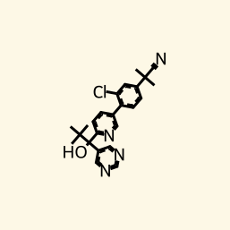 CC(C)(C#N)c1ccc(-c2ccc(C(O)(c3cncnc3)C(C)(C)C)nc2)c(Cl)c1